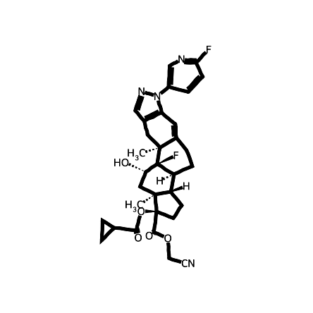 C[C@]12Cc3cnn(-c4ccc(F)nc4)c3C=C1CC[C@H]1[C@@H]3CC[C@](OC(=O)C4CC4)(C(=O)OCC#N)[C@@]3(C)C[C@H](O)[C@@]12F